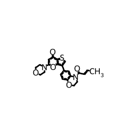 C/C=C/C(=O)N1CCOc2ccc(-c3csc4c(=O)cc(N5CCOCC5)oc34)cc21